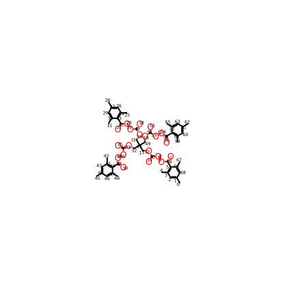 Cc1cc(C)c(C(=O)OOC(=O)OCC(COC(=O)OOC(=O)c2c(C)cc(C)cc2C)(COC(=O)OOC(=O)c2c(C)cc(C)cc2C)COC(=O)OOC(=O)c2c(C)cc(C)cc2C)c(C)c1